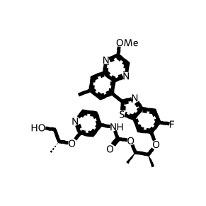 COc1cnc2c(-c3nc4cc(F)c(O[C@@H](C)[C@@H](C)OC(=O)Nc5ccnc(O[C@H](C)CO)c5)cc4s3)cc(C)cc2n1